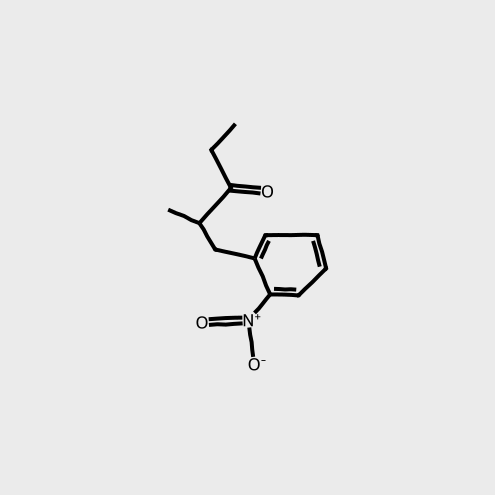 CCC(=O)C(C)Cc1ccccc1[N+](=O)[O-]